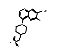 COc1cc2nccc(N3CCC(C[S@](C)(=N)=O)CC3)c2cc1F